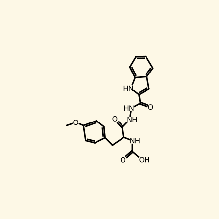 COc1ccc(CC(NC(=O)O)C(=O)NNC(=O)c2cc3ccccc3[nH]2)cc1